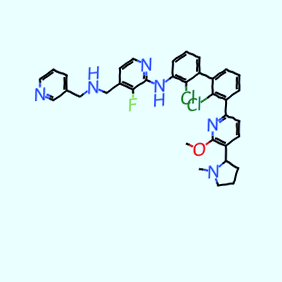 COc1nc(-c2cccc(-c3cccc(Nc4nccc(CNCc5cccnc5)c4F)c3Cl)c2Cl)ccc1C1CCCN1C